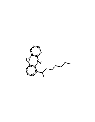 CCCCCCC(C)c1cccc2c1[N]c1ccccc1O2